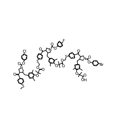 CSc1ccc(C(=O)C2CN(C(=O)Oc3ccc(Cl)cc3)CC2Cc2cc(C)c(OC(C)(C)C(=O)OCSc3ccc(C(=O)C4CN(C(=O)Oc5ccc(F)cc5)CC4Cc4cc(C)c(OC(C)(C)C(=O)OCSc5ccc(C(=O)C6CN(C(=O)Oc7ccc(Br)cc7)CC6Cc6cc(C)c(OC(C)(C)C(=O)O)c(C)c6)cc5)c(C)c4)cc3)c(C)c2)cc1